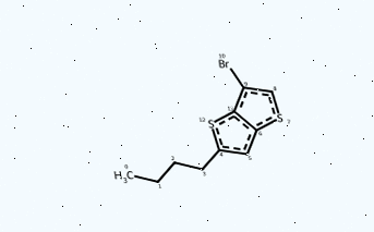 CCCCc1cc2scc(Br)c2s1